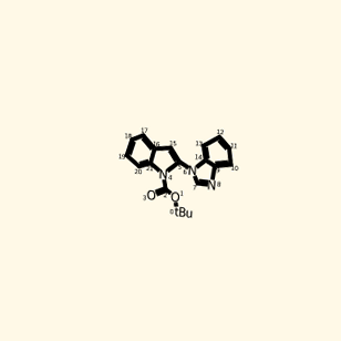 CC(C)(C)OC(=O)n1c(-n2cnc3ccccc32)cc2ccccc21